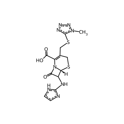 Cn1nnnc1SCC1=C(C(=O)O)N2C(=O)C(Nc3ncc[nH]3)[C@H]2SC1